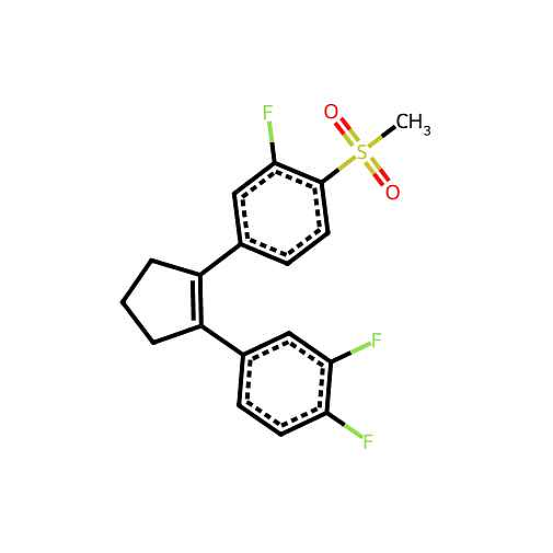 CS(=O)(=O)c1ccc(C2=C(c3ccc(F)c(F)c3)CCC2)cc1F